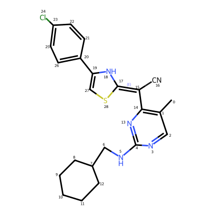 Cc1cnc(NCC2CCCCC2)nc1/C(C#N)=C1/NC(c2ccc(Cl)cc2)=CS1